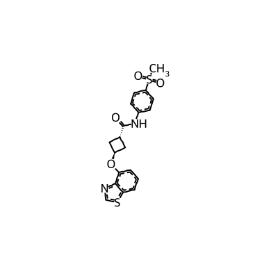 CS(=O)(=O)c1ccc(NC(=O)[C@H]2C[C@H](Oc3cccc4scnc34)C2)cc1